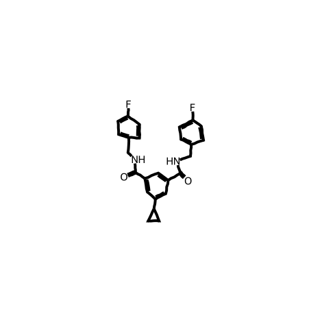 O=C(NCc1ccc(F)cc1)c1cc(C(=O)NCc2ccc(F)cc2)cc(C2CC2)c1